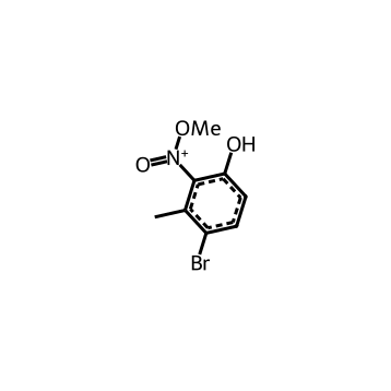 CO[N+](=O)c1c(O)ccc(Br)c1C